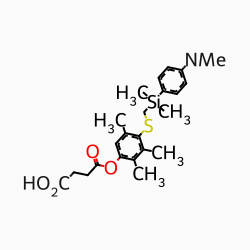 CNc1ccc([Si](C)(C)CSc2c(C)cc(OC(=O)CCC(=O)O)c(C)c2C)cc1